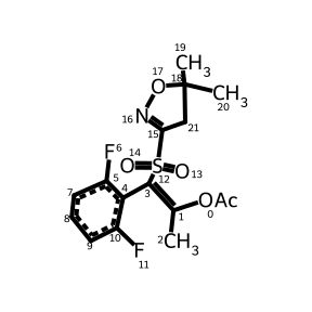 CC(=O)OC(C)=C(c1c(F)cccc1F)S(=O)(=O)C1=NOC(C)(C)C1